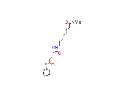 CNC(=O)CCCCCCCNC(=O)CCCC(=O)Sc1ccccc1